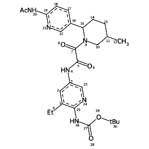 CCc1cc(NC(=O)C(=O)N2CC(C)CCC2c2ccc(NC(C)=O)nc2)cnc1NC(=O)OC(C)(C)C